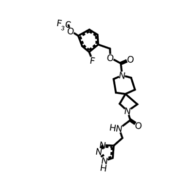 O=C(NCc1c[nH]nn1)N1CC2(CCN(C(=O)OCc3ccc(OC(F)(F)F)cc3F)CC2)C1